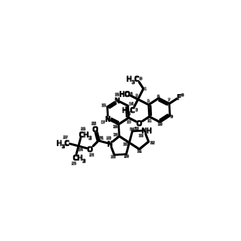 CCC(C)(O)c1cc(F)ccc1Oc1cncnc1C1N(C(=O)OC(C)(C)C)CCC12CCNC2